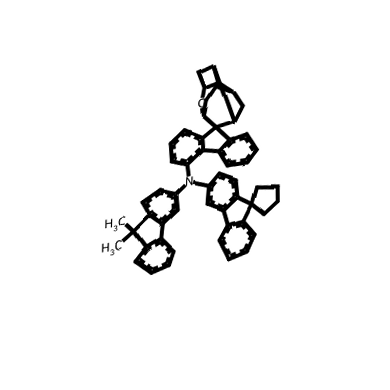 CC1(C)c2ccccc2-c2cc(N(c3ccc4c(c3)-c3ccccc3C43CCCC3)c3cccc4c3-c3ccccc3C43C4CCC5CC3C3CC(C4)C53)ccc21